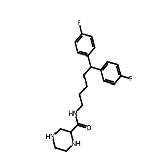 O=C(NCCCCC(c1ccc(F)cc1)c1ccc(F)cc1)C1CNCCN1